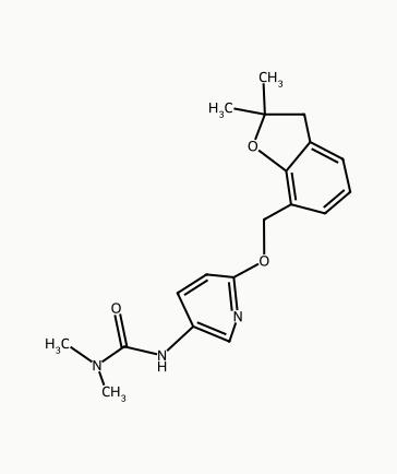 CN(C)C(=O)Nc1ccc(OCc2cccc3c2OC(C)(C)C3)nc1